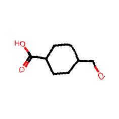 [O]CC1CCC(C(=O)O)CC1